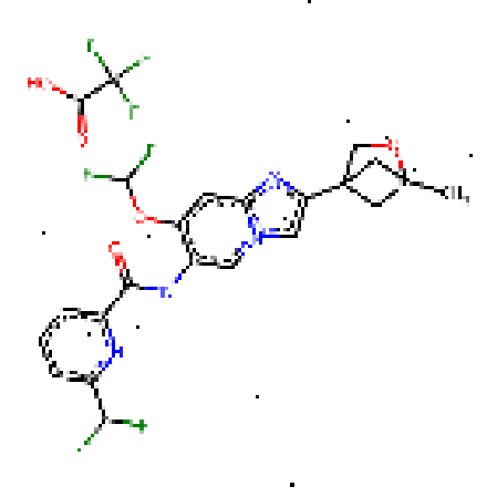 CC12CC(c3cn4cc(NC(=O)c5cccc(C(F)F)n5)c(OC(F)F)cc4n3)(CO1)C2.O=C(O)C(F)(F)F